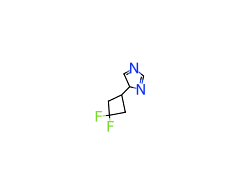 FC1(F)CC(C2C=NC=N2)C1